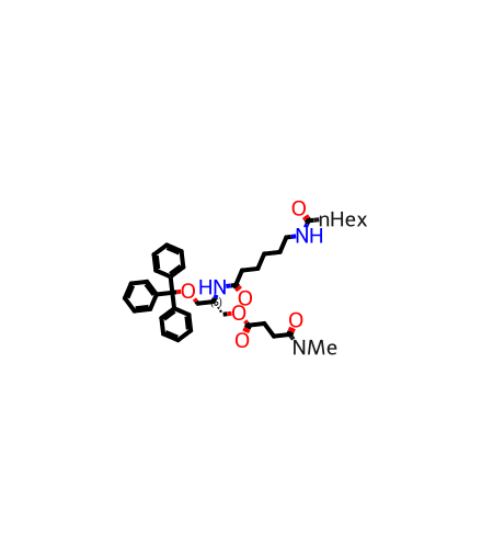 CCCCCCC(=O)NCCCCCC(=O)N[C@H](COC(=O)CCC(=O)NC)COC(c1ccccc1)(c1ccccc1)c1ccccc1